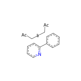 CC(=O)[CH2][Ir][CH2]C(C)=O.c1ccc(-c2ccccn2)cc1